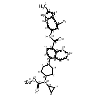 Cc1nc2c(F)cc(NC(=O)c3ccc(N4CCC(N(C(=O)OC(C)(C)C)C5CC5)CC4)c4ccnnc34)cn2n1